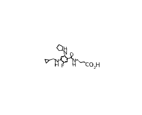 O=C(O)CCCNC(=O)c1cc(F)c(NCC2CC2)cc1NC1CCCC1